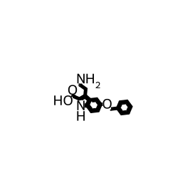 NCCc1c(C(=O)O)[nH]c2ccc(OCc3ccccc3)cc12